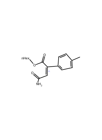 CCCCCCOC(=O)/C(=C\C(N)=O)c1ccc(C)cc1